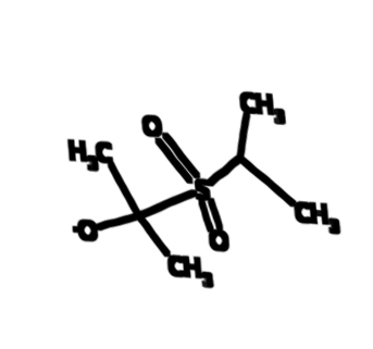 CC(C)S(=O)(=O)C(C)(C)[O]